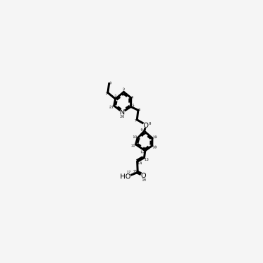 CCc1ccc(CCOc2ccc(C=CC(=O)O)cc2)nc1